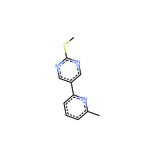 [CH2]c1cccc(-c2cnc(SC)nc2)n1